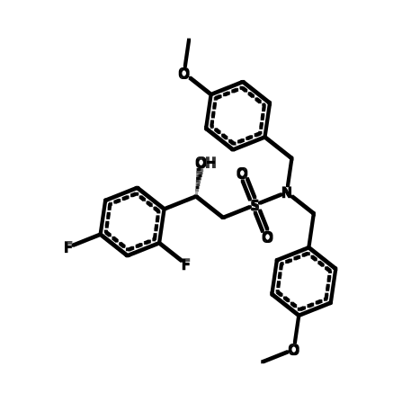 COc1ccc(CN(Cc2ccc(OC)cc2)S(=O)(=O)C[C@@H](O)c2ccc(F)cc2F)cc1